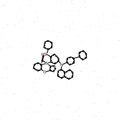 c1ccc(-c2ccc(N(c3ccc4c(c3)[Si]3(c5ccccc5Oc5ccccc53)c3ccccc3[SiH]4c3ccccc3)c3cccc4ccccc34)cc2)cc1